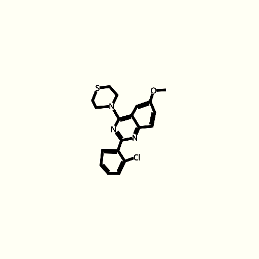 COc1ccc2nc(-c3ccccc3Cl)nc(N3CCSCC3)c2c1